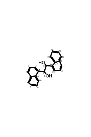 OC(c1cccc2ccccc12)C(O)c1cccc2ccccc12